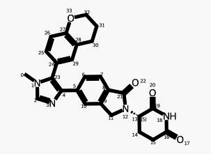 Cn1cnc(-c2ccc3c(c2)CN([C@H]2CCC(=O)NC2=O)C3=O)c1-c1ccc2c(c1)CCCO2